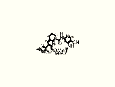 COCCNc1cc(NC(=O)N2CCCc3cc(-c4cnn(C)c4)c(C(OC)OC)nc32)ncc1C#N